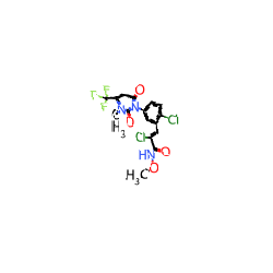 CONC(=O)C(Cl)=Cc1cc(-n2c(=O)cc(C(F)(F)F)n(C)c2=O)ccc1Cl